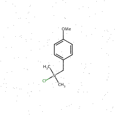 COc1ccc(C[Si](C)(C)Cl)cc1